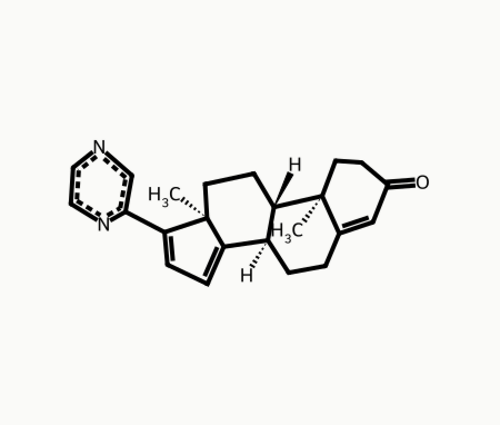 C[C@]12CC[C@H]3[C@@H](CCC4=CC(=O)CC[C@@]43C)C1=CC=C2c1cnccn1